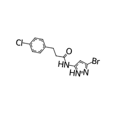 O=C(CCc1ccc(Cl)cc1)Nc1cc(Br)n[nH]1